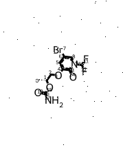 C[C@H](COc1cc(Br)cn(C(F)F)c1=O)OC(N)=O